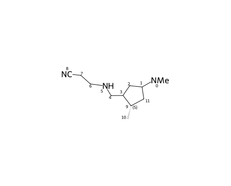 CNC1CC(CNCCC#N)[C@@H](C)C1